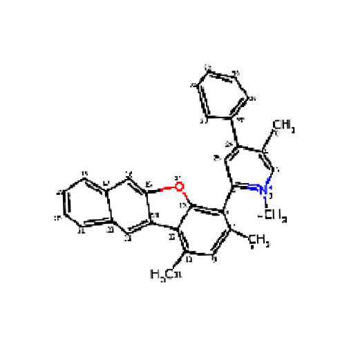 Cc1c[n+](C)c(-c2c(C)cc(C)c3c2oc2cc4ccccc4cc23)cc1-c1ccccc1